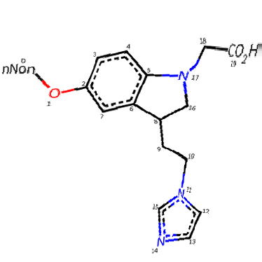 CCCCCCCCCOc1ccc2c(c1)C(CCn1ccnc1)CN2CC(=O)O